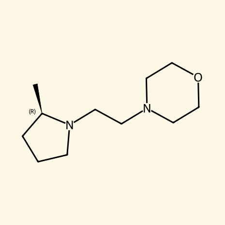 C[C@@H]1CCCN1CCN1CCOCC1